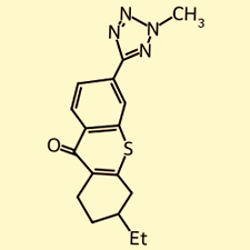 CCC1CCc2c(sc3cc(-c4nnn(C)n4)ccc3c2=O)C1